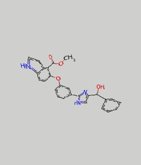 COC(=O)c1c(Oc2cccc(-c3nc(C(O)c4ccccc4)c[nH]3)c2)ccc2[nH]ccc12